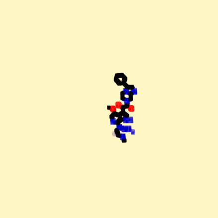 C=N/C=C\N(N)c1ncc(OC)c2c(C(=O)C(=O)N3CCn4c(-c5ccccc5)cnc4C3)c[nH]c12